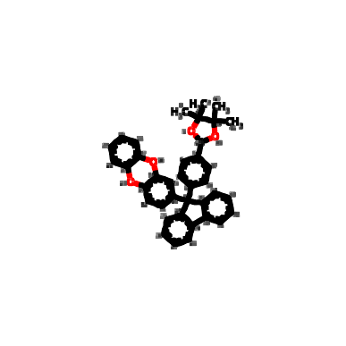 CC1(C)OB(c2ccc(C3(c4ccc5c(c4)Oc4ccccc4O5)c4ccccc4-c4ccccc43)cc2)OC1(C)C